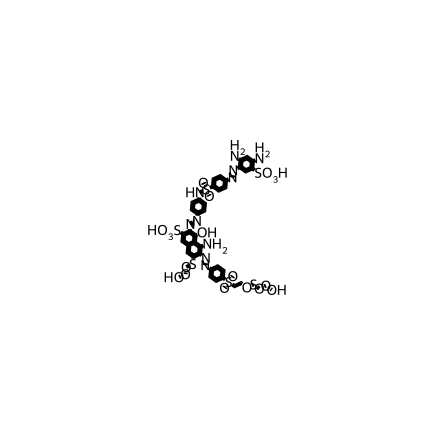 Nc1cc(N)c(S(=O)(=O)O)cc1/N=N/c1ccc(S(=O)(=O)Nc2ccc(/N=N/c3c(S(=O)(=O)O)cc4cc(SOOO)c(/N=N/c5ccc(S(=O)(=O)CCOSOOO)cc5)c(N)c4c3O)cc2)cc1